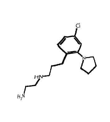 NCCNCCCc1ccc(Cl)cc1N1CCCC1